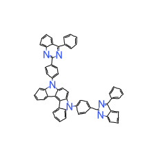 c1ccc(-c2nc(-c3ccc(-n4c5ccccc5c5c6c7ccccc7n(-c7ccc(-c8nc(-c9ccccc9)c9ccccc9n8)cc7)c6ccc54)cc3)nc3ccccc23)cc1